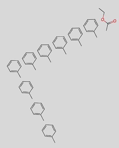 CCOC(C)=O.Cc1ccccc1.Cc1ccccc1.Cc1ccccc1.Cc1ccccc1.Cc1ccccc1.Cc1ccccc1.Cc1ccccc1.Cc1ccccc1.Cc1ccccc1